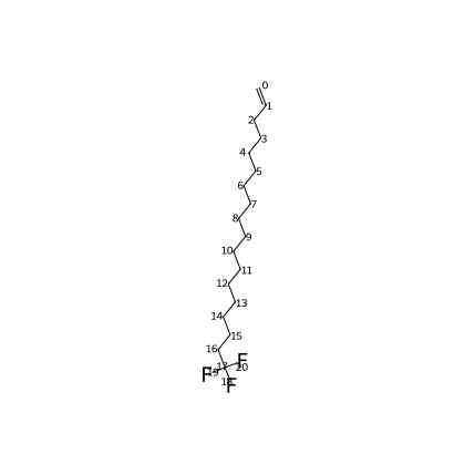 C=CCCCCCCCCCCCCCCCC(F)(F)F